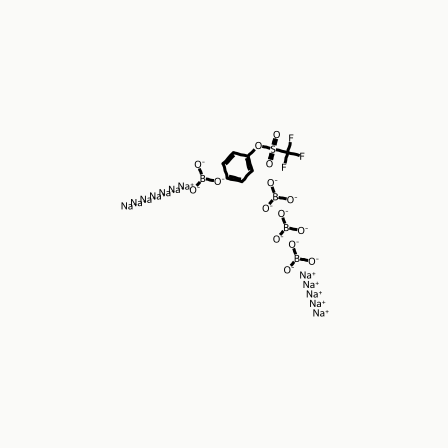 O=S(=O)(Oc1ccccc1)C(F)(F)F.[Na+].[Na+].[Na+].[Na+].[Na+].[Na+].[Na+].[Na+].[Na+].[Na+].[Na+].[Na+].[O-]B([O-])[O-].[O-]B([O-])[O-].[O-]B([O-])[O-].[O-]B([O-])[O-]